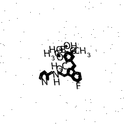 COc1cc(C=C2C(C)=C(CC(=O)NCc3cccnc3)c3cc(F)ccc32)cc(OC)c1B(O)O